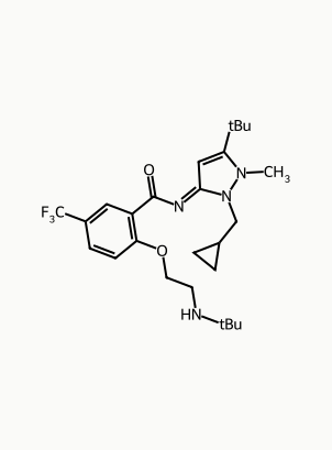 Cn1c(C(C)(C)C)cc(=NC(=O)c2cc(C(F)(F)F)ccc2OCCNC(C)(C)C)n1CC1CC1